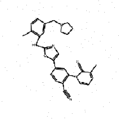 Cc1ccc(CN2CCCC2)cc1Nc1ncc(-c2ccc(C#N)c(-n3cccc(C)c3=O)c2)o1